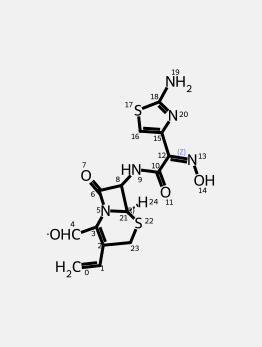 C=CC1=C([C]=O)N2C(=O)C(NC(=O)/C(=N\O)c3csc(N)n3)[C@H]2SC1